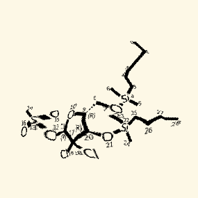 CCCC[Si](C)(C)OC[C@H]1O[C@H](OS(C)(=O)=O)C(Cl)(Cl)[C@@H]1O[Si](C)(C)CCCC